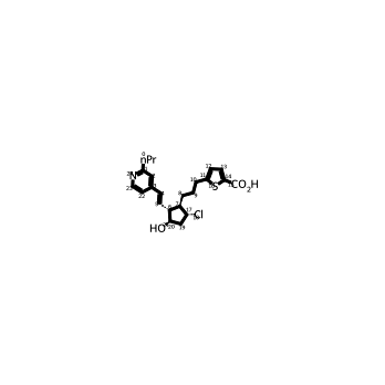 CCCc1cc(C=C[C@@H]2[C@@H](CCCc3ccc(C(=O)O)s3)[C@H](Cl)C[C@H]2O)ccn1